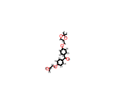 CC1(C)OCC(COc2ccc(C(=O)c3ccc(OCC4CO4)cc3)cc2)O1